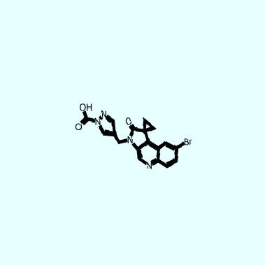 O=C(O)n1cc(CN2C(=O)C3(CC3)c3c2cnc2ccc(Br)cc32)cn1